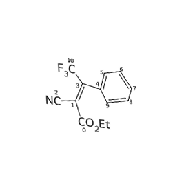 CCOC(=O)/C(C#N)=C(\c1ccccc1)C(F)(F)F